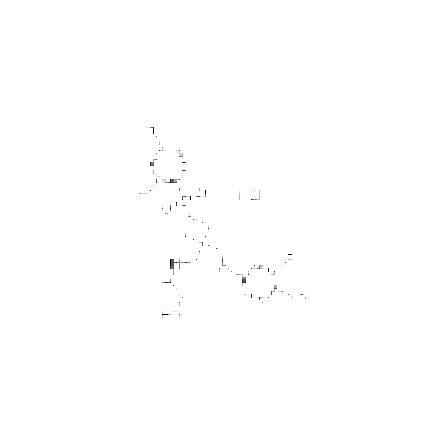 CC(CO)NCC1(COc2ccc(C#N)c(F)c2)CN(S(=O)(=O)c2ccc(Cl)cc2Cl)C1.Cl